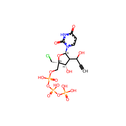 C#CC(O)C1[C@H](n2ccc(=O)[nH]c2=O)O[C@](CCl)(COP(=O)(O)OP(=O)(O)OP(=O)(O)O)[C@H]1O